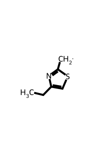 [CH2]c1nc(CC)cs1